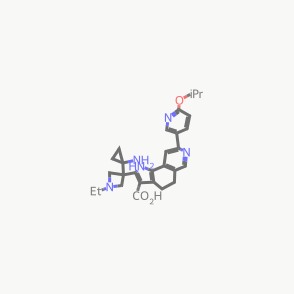 CCN1CC(c2[nH]c3c(c2C(=O)O)CCc2cnc(-c4ccc(OC(C)C)nc4)cc2-3)(C2(N)CC2)C1